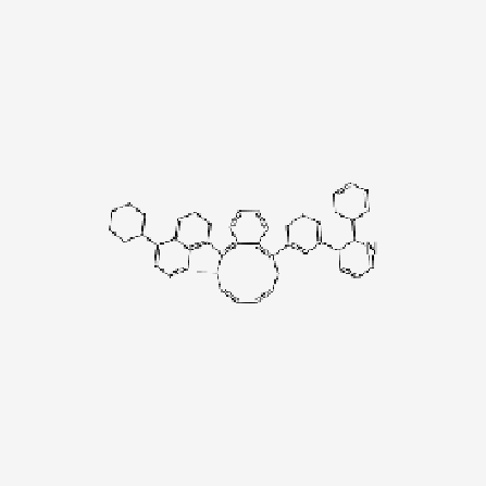 CC1/C=C\C=C/C/C(C2=CC(C3C=CC=NC3C3C=CC=CC3)=CCC2)=c2/cccc/c2=C/1C1=c2cccc(C3CCCCC3)c2=CCC1